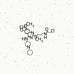 COc1cc2nc(N(C)CCCNC(=O)CCl)nc(NC3CCN(C4CCCCC4)CC3)c2cc1OC